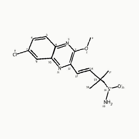 COc1nc2ccc(Cl)cc2nc1/C=C/C(C)(C)[S+](N)[O-]